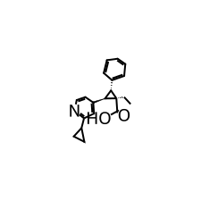 CC[C@@]1(C(=O)O)[C@@H](c2ccccc2)[C@@H]1c1ccnc(C2CC2)c1